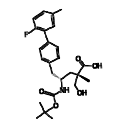 Cc1ccc(F)c(-c2ccc(C[C@H](C[C@@](C)(CO)C(=O)O)NC(=O)OC(C)(C)C)cc2)c1